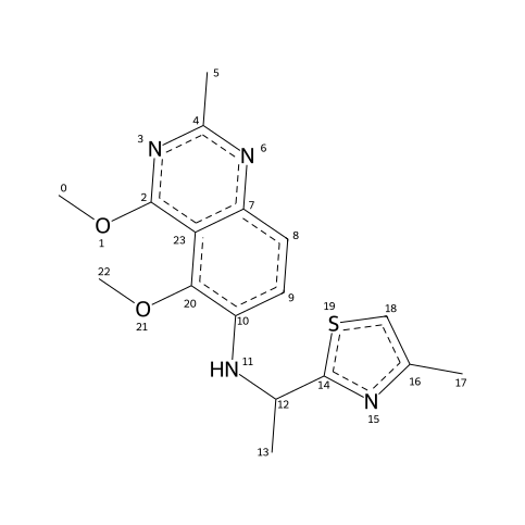 COc1nc(C)nc2ccc(NC(C)c3nc(C)cs3)c(OC)c12